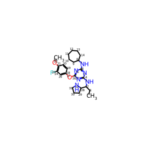 CCC(Nc1nc(NC2CCCCCC2)nc(Oc2ccc(OC)c(F)c2)n1)C1CCCN1